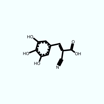 N#C/C(=C\c1cc(O)c(O)c(O)c1)C(=O)O